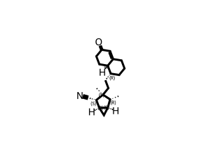 C[C@@H]1[C@H]2C[C@H]2[C@H](C#N)[C@@]1(C)CC[C@H]1CCCC2=CC(=O)CC[C@@H]21